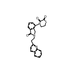 O=C1SCCN(c2cccc3c2CN(CCc2ccc4ccccc4n2)C3=O)C1=O